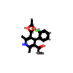 COC(=O)C1=C(C)NC(C)=C(C2OC(C)O2)C1c1ccccc1Cl